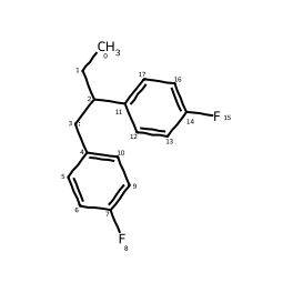 CCC([C]c1ccc(F)cc1)c1ccc(F)cc1